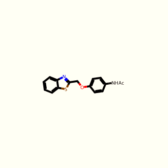 CC(=O)Nc1ccc(OCc2nc3ccccc3s2)cc1